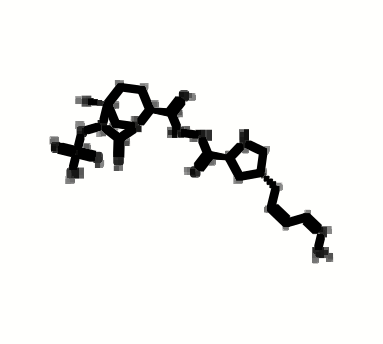 N/N=C\C=C/C[C@H]1CN[C@H](C(=O)NNC(=O)[C@@H]2CC[C@H]3CN2C(=O)N3OS(=O)(=O)O)C1